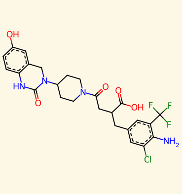 Nc1c(Cl)cc(CC(CC(=O)N2CCC(N3Cc4cc(O)ccc4NC3=O)CC2)C(=O)O)cc1C(F)(F)F